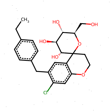 CCc1ccc(Cc2cc3c(cc2Cl)OCCC32O[C@H](CO)[C@@H](O)[C@H](O)[C@H]2O)cc1